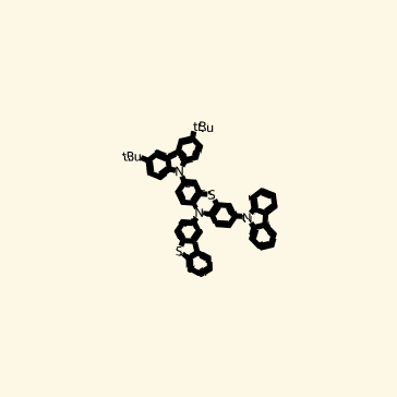 CC(C)(C)c1ccc2c(c1)c1cc(C(C)(C)C)ccc1n2-c1ccc2c(c1)Sc1cc(-n3c4ccccc4c4ccccc43)ccc1N2c1ccc2sc3ccccc3c2c1